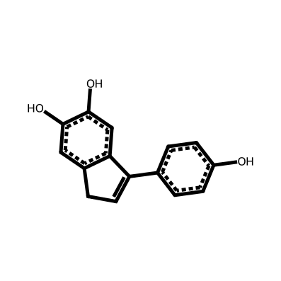 Oc1ccc(C2=CCc3cc(O)c(O)cc32)cc1